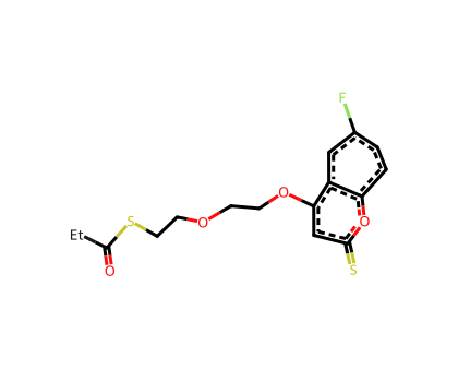 CCC(=O)SCCOCCOc1cc(=S)oc2ccc(F)cc12